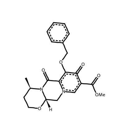 COC(=O)c1cn2c(c(OCc3ccccc3)c1=O)C(=O)N1[C@H](C)CCO[C@H]1C2